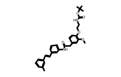 COc1cc(CC(=O)Nc2cccc(C=Cc3cccc(C)c3)c2)ccc1OCCNC(=O)OC(C)(C)C